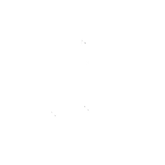 ON=CCc1ncccn1